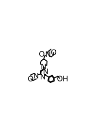 O=C(C1CCN(c2cc(N3CCOCC3)nc(-c3cccc(CO)c3)n2)CC1)N1CCOCC1